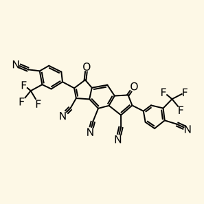 N#Cc1ccc(-c2c(C#N)c3c(C#N)c4c(C#N)c(-c5ccc(C#N)c(C(F)(F)F)c5)c(=O)c4cc3c2=O)cc1C(F)(F)F